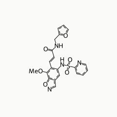 COc1c(C=CC(=O)NCc2ccco2)c(NS(=O)(=O)c2ccccn2)cc2cnoc12